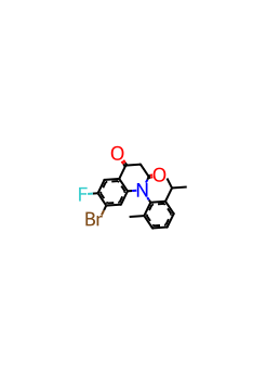 Cc1cccc(C(C)C)c1N1C(=O)CC(=O)c2cc(F)c(Br)cc21